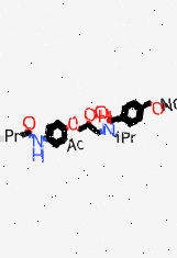 CCCC(=O)Nc1ccc(OCC(O)CN(C(=O)c2ccc(CO[N+](=O)[O-])cc2)C(C)C)c(C(C)=O)c1